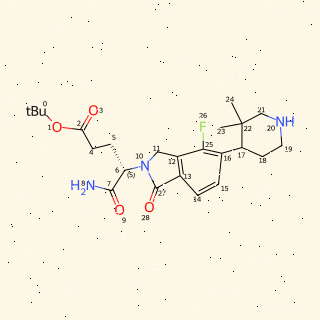 CC(C)(C)OC(=O)CC[C@@H](C(N)=O)N1Cc2c(ccc(C3CCNCC3(C)C)c2F)C1=O